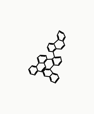 c1cc(-c2cccc3ccccc23)c(-c2cccc3c2ccc2ccccc23)c(-c2cccc3c2ccc2ccccc23)c1